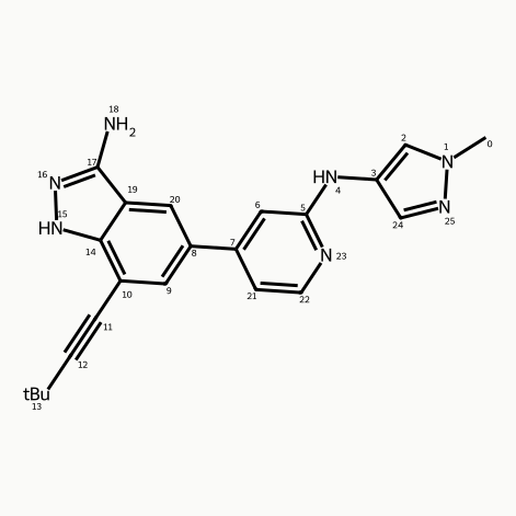 Cn1cc(Nc2cc(-c3cc(C#CC(C)(C)C)c4[nH]nc(N)c4c3)ccn2)cn1